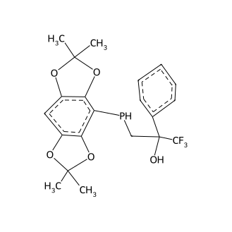 CC1(C)Oc2cc3c(c(PCC(O)(c4ccccc4)C(F)(F)F)c2O1)OC(C)(C)O3